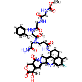 CC[C@@]1(O)C(=O)OCc2c1cc1n(c2=O)Cc2c-1nc1cc(F)c(C)c3c1c2[C@@H](NC(=O)[C@@H](C)CN(CC(N)=O)C(=O)[C@H](Cc1ccccc1)NC(=O)CNC(=O)CNC(=O)OC(C)(C)C)CC3